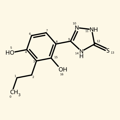 CCCc1c(O)ccc(-c2n[nH]c(=S)[nH]2)c1O